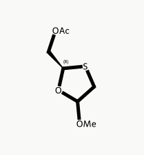 COC1CS[C@H](COC(C)=O)O1